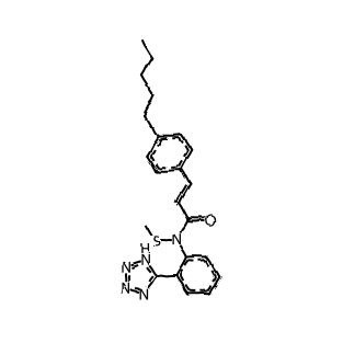 CCCCCc1ccc(C=CC(=O)N(SC)c2ccccc2-c2nnn[nH]2)cc1